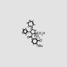 CC(C)(C)c1ccc(C(=O)N2[C@@H](c3cncs3)[C@@H](N3C=CN=CC3)C[C@@]2(C)C(=O)O)cc1Cl